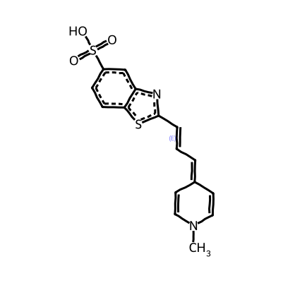 CN1C=CC(=C/C=C/c2nc3cc(S(=O)(=O)O)ccc3s2)C=C1